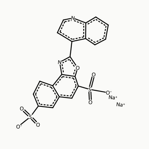 O=S(=O)([O-])c1ccc2c(c1)cc(S(=O)(=O)[O-])c1oc(-c3ccnc4ccccc34)nc12.[Na+].[Na+]